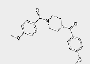 COc1ccc(C(=O)N2CCN(C(=O)c3ccc(OC)cc3)CC2)cc1